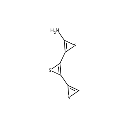 NC1=C(C2=C(C3=CS3)S2)S1